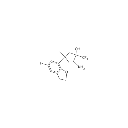 CC(C)(CC(O)(CN)C(F)(F)F)c1cc(F)cc2c1OCC2